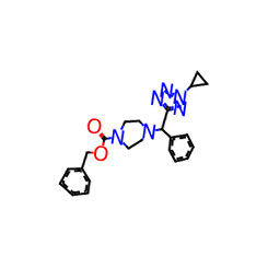 O=C(OCc1ccccc1)N1CCN(C(c2ccccc2)c2nnn(C3CC3)n2)CC1